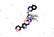 CC(C)(C)[Si](C)(C)O[C@H](CN1CCc2ccccc2C1)CN1CCN(Cc2ccc(C3CCCOC3)cn2)C1=O